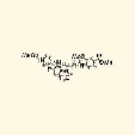 COCCN1CC[C@H](Nc2cccc3c2cc(C#CCNc2ccc(C(=O)OC)cc2OC)n3CC(F)(F)F)[C@H](F)C1